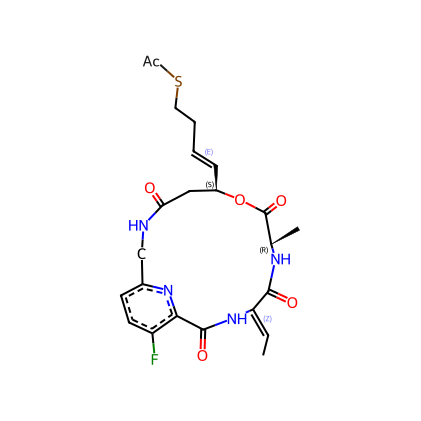 C/C=C1\NC(=O)c2nc(ccc2F)CNC(=O)C[C@@H](/C=C/CCSC(C)=O)OC(=O)[C@@H](C)NC1=O